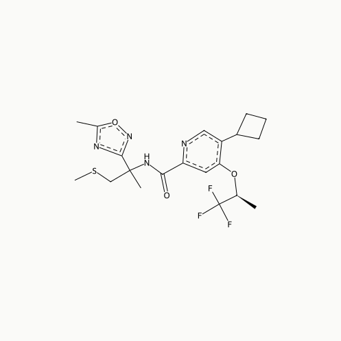 CSCC(C)(NC(=O)c1cc(O[C@@H](C)C(F)(F)F)c(C2CCC2)cn1)c1noc(C)n1